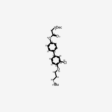 CCCCCCCCCCCC(=O)Oc1ccc(-c2ccc(OCCC[C@@H](C)CC)c(Cl)c2)cc1